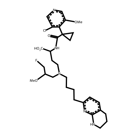 COc1cncc(Cl)c1C1(C(=O)NC(CCN(CCCCc2ccc3c(n2)NCCC3)CC(CF)OC)C(=O)O)CC1